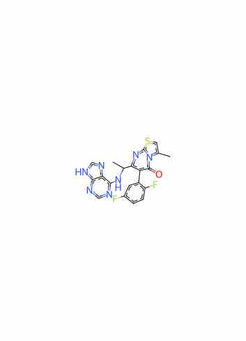 Cc1csc2nc(C(C)Nc3ncnc4[nH]cnc34)c(-c3cc(F)ccc3F)c(=O)n12